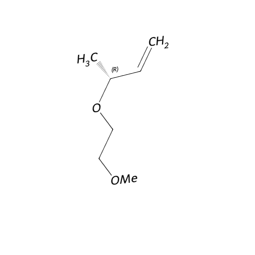 C=C[C@@H](C)OCCOC